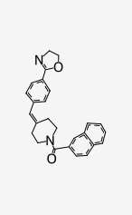 O=C(c1ccc2ccccc2c1)N1CCC(=Cc2ccc(C3=NCCO3)cc2)CC1